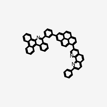 C1=CC2=CC=C(c3cnc4c(ccc5ccc(-c6ccccc6)nc54)c3)C3=CC=C4C=C(c5cccc(-c6nc7c8ccccc8c8ccccc8c7c7ccccc67)c5)C=C1C4C23